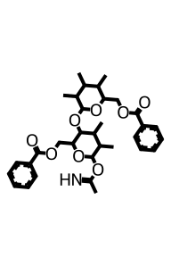 CC(=N)OC1OC(COC(=O)c2ccccc2)C(OC2OC(COC(=O)c3ccccc3)C(C)C(C)C2C)C(C)C1C